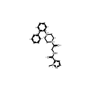 Cn1nccc1C(=O)NCC(=O)N1CCN(c2ccccc2-c2ccccc2)CC1